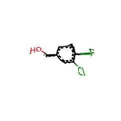 O[CH]c1ccc(F)c(Cl)c1